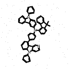 CC1(C)c2ccccc2-c2c(N(c3ccc(-c4cccc5c4c4cnccc4n5-c4ccccc4)cc3)c3ccc4c(c3)c3ccccc3n4-c3ccccc3)cccc21